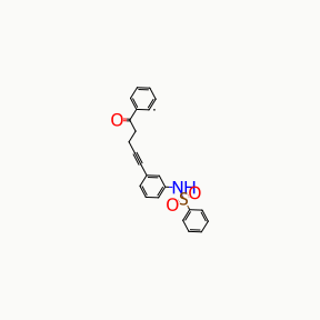 O=C(CCC#Cc1cccc(NS(=O)(=O)c2ccccc2)c1)c1[c]cccc1